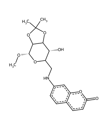 CO[C@H]1OC(CNc2ccc3ccc(=O)oc3c2)[C@@H](O)C2OC(C)(C)OC21